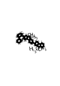 CC1(C)c2ccccc2-c2ccc(-c3ccc4c(c3)C(C)(C)c3cc(-c5ccccc5-c5ccccn5)ccc3-4)cc21